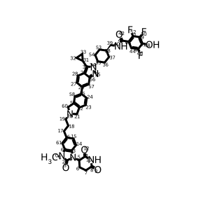 Cn1c(=O)n(C2CCC(=O)NC2=O)c2ccc(CCCN3Cc4ccc(-c5ccc6c(C7CC7)n([C@H]7CC[C@H](CNC(=O)c8cc(F)c(O)c(F)c8F)CC7)nc6c5)cc4C3)cc21